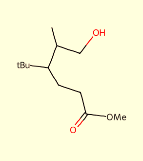 COC(=O)CCC(C(C)CO)C(C)(C)C